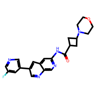 O=C(Nc1cc2cc(-c3cncc(F)c3)cnc2cn1)C1CC(N2CCOCC2)C1